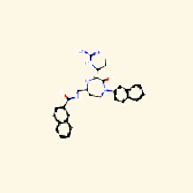 CCC(NC(=N)N)[C@@H]1N[C@H](CNC(=O)c2ccc3ccccc3c2)CCN(c2ccc3ccccc3c2)C1=O